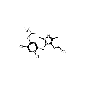 Cc1nn(C)c(Oc2cc(O[C@@H](C)C(=O)O)c(Cl)cc2Cl)c1C=CC#N